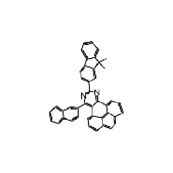 CC1(C)c2ccccc2-c2ccc(-c3nc(-c4ccc5ccccc5c4)c4c5cccc6ccc7cccc(c4n3)c7c65)cc21